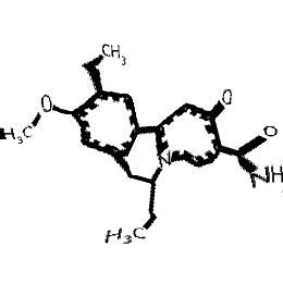 CCc1cc2c(cc1OC)CC(CC)n1cc(C(N)=O)c(=O)cc1-2